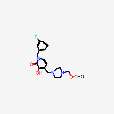 O=COCN1CCN(Cc2ccn(Cc3cccc(F)c3)c(=O)c2O)CC1